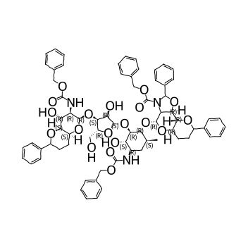 C[C@H]1C[C@@H](NC(=O)OCc2ccccc2)[C@H](O)[C@@H](O[C@@H]2O[C@H](CO)[C@@H](O[C@H]3O[C@H]4CCC(c5ccccc5)O[C@H]4[C@H](O)[C@H]3NC(=O)OCc3ccccc3)[C@H]2O)[C@@H]1O[C@H]1O[C@@H]2CCC(c3ccccc3)O[C@H]2[C@@H]2OC(c3ccccc3)N(C(=O)OCc3ccccc3)C12